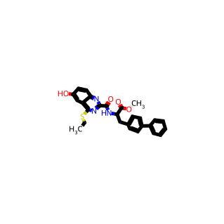 CCSc1nc(C(=O)NC(Cc2ccc(-c3ccccc3)cc2)C(=O)OC)nc2ccc(O)cc12